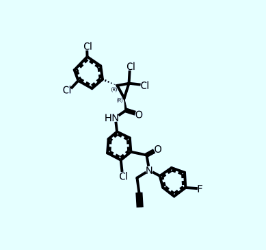 C#CCN(C(=O)c1cc(NC(=O)[C@H]2[C@H](c3cc(Cl)cc(Cl)c3)C2(Cl)Cl)ccc1Cl)c1ccc(F)cc1